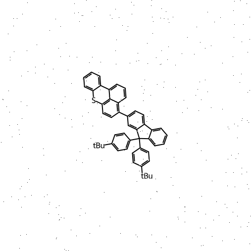 CC(C)(C)c1ccc(C2(c3ccc(C(C)(C)C)cc3)c3ccccc3-c3ccc(-c4ccc5c6c(cccc46)-c4ccccc4S5)cc32)cc1